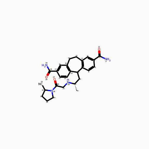 C[C@@H](CC1c2ccc(C(N)=O)cc2CCc2cc(C(N)=O)ccc21)NCC(=O)N1CCCC1C#N